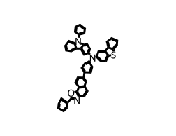 c1ccc(-c2nc3ccc4cc(-c5ccc(N(c6ccc7sc8ccccc8c7c6)c6ccc7c(c6)c6ccccc6n7-c6ccccc6)cc5)ccc4c3o2)cc1